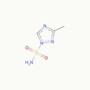 Cc1ncn(S(N)(=O)=O)n1